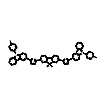 Cc1ccc(-n2c3ccccc3c3cc(-c4ccc(-c5ccc6c(c5)C(C)(C)c5cc(-c7ccc(-c8ccc9c(c8)c8ccccc8n9-c8ccc(C)cc8)s7)ccc5-6)s4)ccc32)cc1